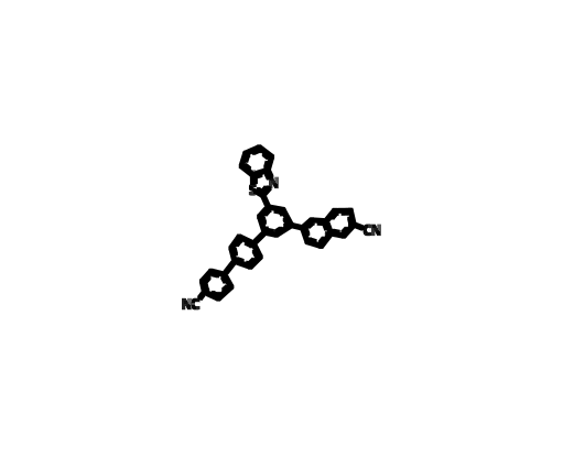 N#Cc1ccc(-c2ccc(-c3cc(-c4ccc5cc(C#N)ccc5c4)cc(-c4nc5ccccc5s4)c3)cc2)cc1